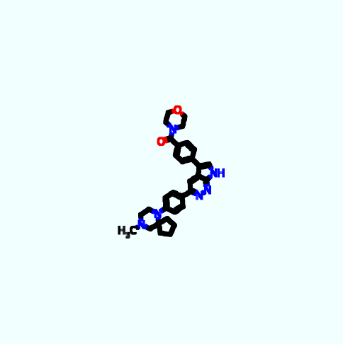 CN1CCN(c2ccc(-c3cc4c(-c5ccc(C(=O)N6CCOCC6)cc5)c[nH]c4nn3)cc2)C2(CCCC2)C1